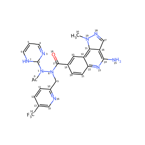 CC(=O)N(C1N=CC=CN1)N(Cc1ccc(C(F)(F)F)cn1)C(=O)c1ccc2nc(N)c3cnn(C)c3c2c1